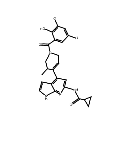 CC1CN(C(=O)c2cc(Cl)cc(Cl)c2O)CC=C1c1cc(NC(=O)C2CC2)nc2[nH]ccc12